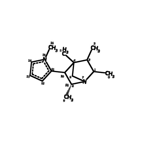 CC1C(C)C2(C)CN1[C@H](C)C2c1cccn1C